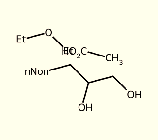 CC(=O)O.CCCCCCCCCCC(O)CO.CCOCC